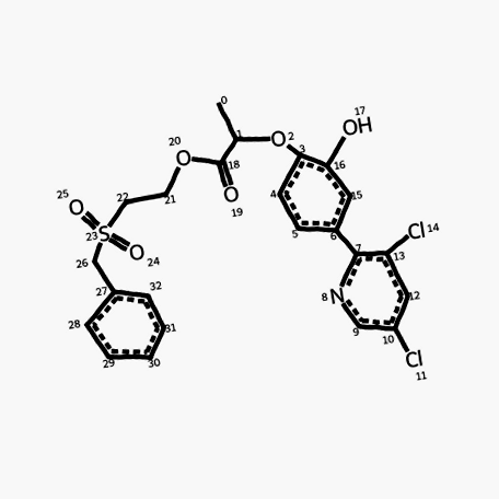 CC(Oc1ccc(-c2ncc(Cl)cc2Cl)cc1O)C(=O)OCCS(=O)(=O)Cc1ccccc1